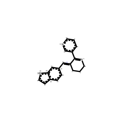 C(=C1/CCCN=C1c1cccnc1)/c1ccc2cc[nH]c2c1